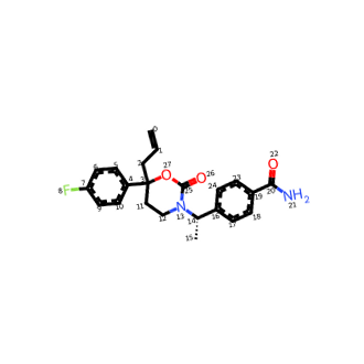 C=CCC1(c2ccc(F)cc2)CCN([C@@H](C)c2ccc(C(N)=O)cc2)C(=O)O1